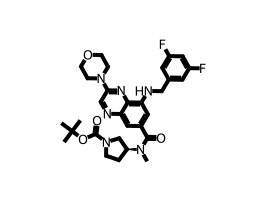 CN(C(=O)c1cc(NCc2cc(F)cc(F)c2)c2nc(N3CCOCC3)cnc2c1)[C@H]1CCN(C(=O)OC(C)(C)C)C1